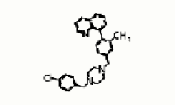 Cc1cc(CN2CCN(Cc3ccc(Cl)cc3)CC2)ccc1-c1cccc2cccnc12